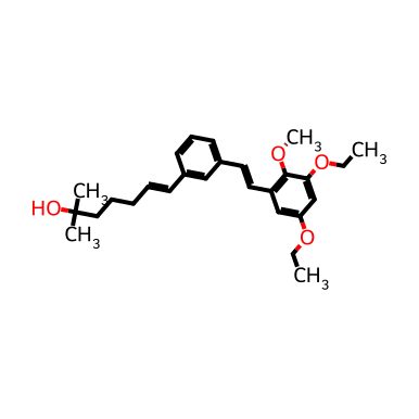 CCOc1cc(C=Cc2cccc(C=CCCCC(C)(C)O)c2)c(OC)c(OCC)c1